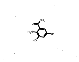 NC(=O)c1cc(Br)cc(O)c1N